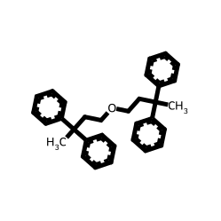 CC(CCOCCC(C)(c1ccccc1)c1ccccc1)(c1ccccc1)c1ccccc1